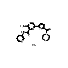 Cl.Nc1ncc(-c2ccc(C(=O)N3CCNCC3)o2)nc1C(=O)Nc1cccnc1